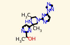 C[C@H]1CN(c2nccc(-n3cncn3)n2)C[C@](C)(c2ccnc([C@@H](C)O)n2)N1